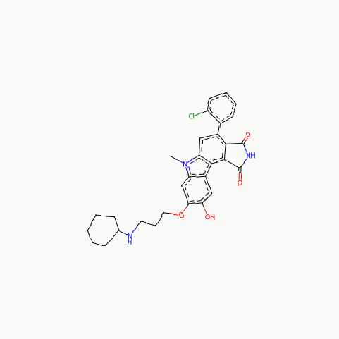 Cn1c2cc(OCCCNC3CCCCC3)c(O)cc2c2c3c(c(-c4ccccc4Cl)cc21)C(=O)NC3=O